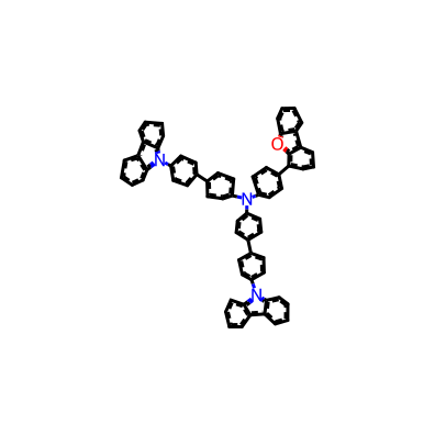 c1ccc2c(c1)oc1c(-c3ccc(N(c4ccc(-c5ccc(-n6c7ccccc7c7ccccc76)cc5)cc4)c4ccc(-c5ccc(-n6c7ccccc7c7ccccc76)cc5)cc4)cc3)cccc12